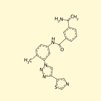 C=C(N)c1cccc(C(=O)Nc2ccc(C)c(-n3cc(-c4cncs4)nn3)c2)c1